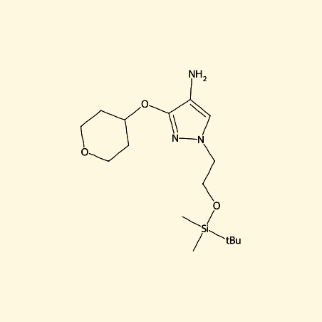 CC(C)(C)[Si](C)(C)OCCn1cc(N)c(OC2CCOCC2)n1